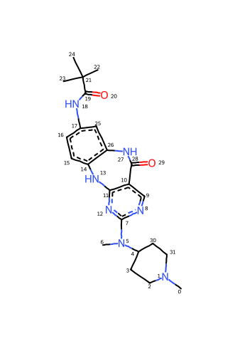 CN1CCC(N(C)c2ncc3c(n2)Nc2ccc(NC(=O)C(C)(C)C)cc2NC3=O)CC1